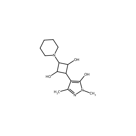 Cc1nn(C)c(O)c1C1C(O)C(N2CCCCC2)C1O